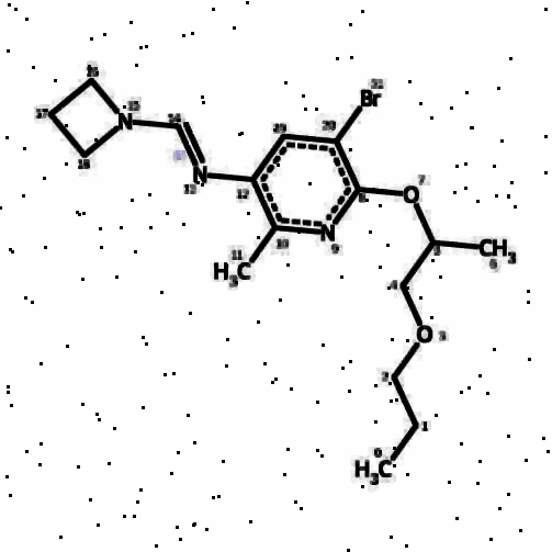 CCCOCC(C)Oc1nc(C)c(/N=C/N2CCC2)cc1Br